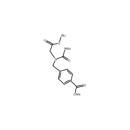 CNC(=O)N(CC(=O)OC(C)(C)C)Cc1ccc(C(=O)OC)cc1